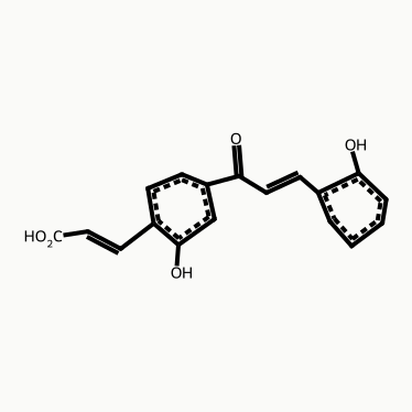 O=C(O)C=Cc1ccc(C(=O)C=Cc2ccccc2O)cc1O